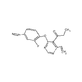 C=Cc1ncnc(Oc2ccc(C#N)cc2F)c1C(=O)CC